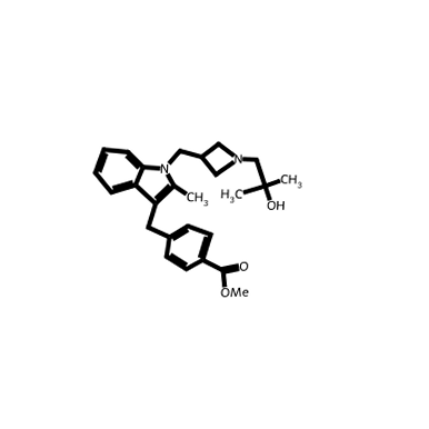 COC(=O)c1ccc(Cc2c(C)n(CC3CN(CC(C)(C)O)C3)c3ccccc23)cc1